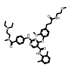 CCN(CC)CCN(C)C(=O)c1ccc(Nc2ncc(C(=O)Nc3c(C)cccc3C)c(Oc3ccc(CCC(=O)NCCOC)cc3OC)n2)cc1